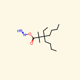 CCCCC(CC)(CCCC)C(C)(C)C(=O)ON=N